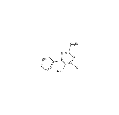 CCOC(=O)c1cc(Cl)c(NC(C)=O)c(-c2ccncc2)n1